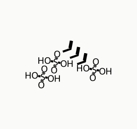 C=CC.C=CC.C=CC.O=S(=O)(O)O.O=S(=O)(O)O.O=S(=O)(O)O